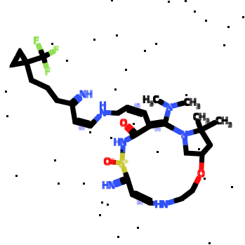 CN(C)/C1=C(\C=C/CN/C=C\C(=N)CCCC2(C(F)(F)F)CC2)C(=O)N[S+]([O-])C(=N)/C=C\NCCOC2CN1C(C)(C)C2